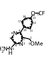 COCc1nc(NN)cnc1-c1ccc(OC(F)(F)F)cc1